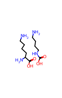 NCCCCC(N)C(=O)O.NCCCCNC(=O)O